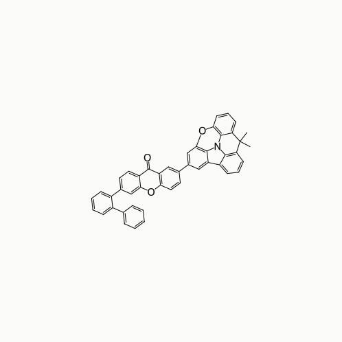 CC1(C)c2cccc3c2-n2c4c(cc(-c5ccc6oc7cc(-c8ccccc8-c8ccccc8)ccc7c(=O)c6c5)cc4c4cccc1c42)O3